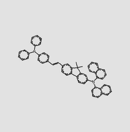 CC1(C)c2cc(/C=C/c3ccc(N(c4ccccc4)c4ccccc4)cc3)ccc2-c2ccc(N(c3cccc4ccccc34)c3cccc4ccccc34)cc21